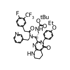 CCOc1ccc(-n2c([C@@H](CNC(=O)OC(C)(C)C)N(Cc3cccnc3)C(=O)Cc3ccc(F)c(C(F)(F)F)c3)nc3c(c2=O)CCCN3)cc1